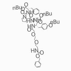 CCCCOC(=O)[C@H](Cc1ccc(OCCCC)cc1)NC(=O)N1CCCC1C(=O)NNC(=O)[C@H](Cc1ccc(OCCCC)cc1)NC(=O)COCCOCCNC(=O)OCc1ccccc1